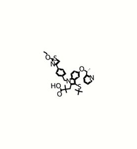 CCOc1nc(-c2ccc(Cn3c(CC(C)(C)C(=O)O)c(SC(C)(C)C)c4cc(O[C@H](C)c5ccccn5)ccc43)cc2)cs1